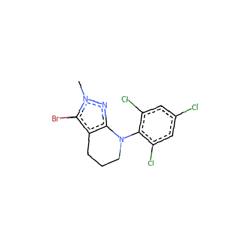 Cn1nc2c(c1Br)CCCN2c1c(Cl)cc(Cl)cc1Cl